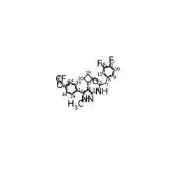 Cn1nc(NC(=O)Cc2ccc(F)c(F)c2)c(C2CCC2)c1-c1ccc(OC(F)(F)F)cc1